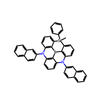 C[Si]1(c2ccccc2)c2cccc3c2B2c4c(cccc4N(c4ccc5ccccc5c4)c4cccc1c42)N3c1ccc2ccccc2c1